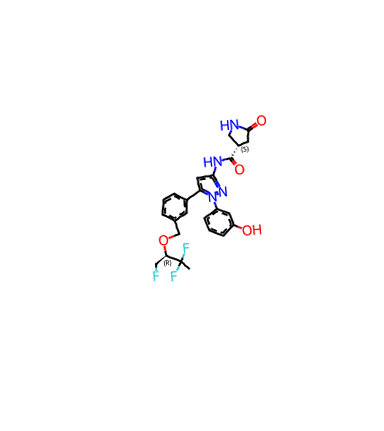 CC(F)(F)[C@@H](CF)OCc1cccc(-c2cc(NC(=O)[C@@H]3CNC(=O)C3)nn2-c2cccc(O)c2)c1